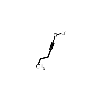 CCCC#COCl